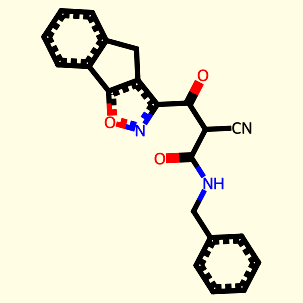 N#CC(C(=O)NCc1ccccc1)C(=O)c1noc2c1Cc1ccccc1-2